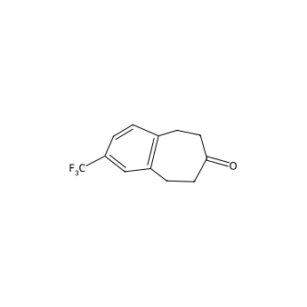 O=C1CCc2ccc(C(F)(F)F)cc2CC1